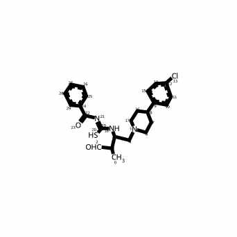 CC(C=O)C(CN1CCC(c2ccc(Cl)cc2)CC1)NC(S)=NC(=O)c1ccccc1